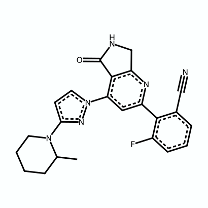 CC1CCCCN1c1ccn(-c2cc(-c3c(F)cccc3C#N)nc3c2C(=O)NC3)n1